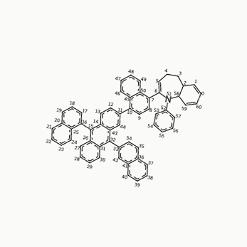 C1=CC2CCC=C(c3ccc(-c4ccc5c(-c6cccc7ccccc67)c6ccccc6c(-c6ccc7ccccc7c6)c5c4)c4ccccc34)N(c3ccccc3)C2C=C1